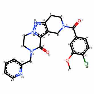 COc1cc(C(=O)N2CCc3nn4c(c3C2)C(=O)N(Cc2ccccn2)CC4)ccc1Cl